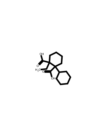 CCC1(C(=O)O)CCCCC1(C(=O)O)C1CCCCC1